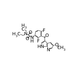 CCN(CC)S(=O)(=O)Nc1ccc(F)c(C(=O)c2c[nH]c3ncc(OC)cc23)c1F